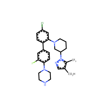 O=C(O)c1cnn(C2CCCN(c3cc(Cl)ccc3-c3ccc(N4CCNCC4)c(F)c3)C2)c1C(F)(F)F